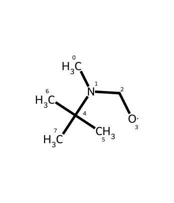 CN(C[O])C(C)(C)C